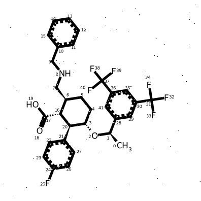 C[C@@H](O[C@H]1CC[C@H](CNCc2ccccc2)[C@@H](C(=O)O)[C@@H]1c1ccc(F)cc1)c1cc(C(F)(F)F)cc(C(F)(F)F)c1